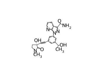 CC(O)c1cc(C#C[C@]2(O)CCN(C)C2=O)cc(-n2nc(C(N)=O)c3cccnc32)c1